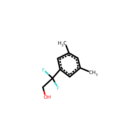 Cc1cc(C)cc(C(F)(F)CO)c1